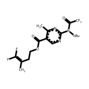 CCCCN(C(=O)C(F)(F)F)c1ncc(C(=O)OCCC(C)=C(F)F)c(C)n1